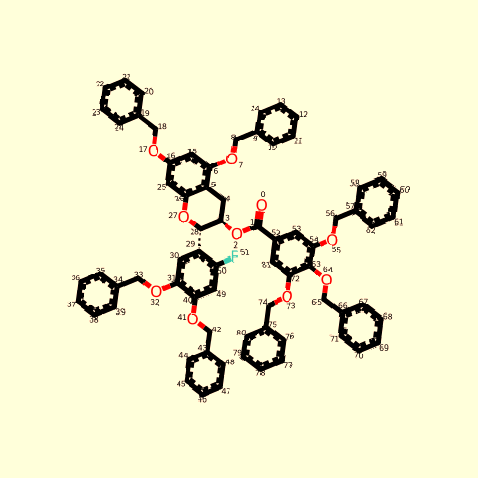 O=C(O[C@@H]1Cc2c(OCc3ccccc3)cc(OCc3ccccc3)cc2O[C@H]1c1cc(OCc2ccccc2)c(OCc2ccccc2)cc1F)c1cc(OCc2ccccc2)c(OCc2ccccc2)c(OCc2ccccc2)c1